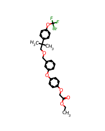 CCOC(=O)COc1ccc(Oc2cccc(COCC(C)(C)c3ccc(OC(F)(F)Br)cc3)c2)cc1